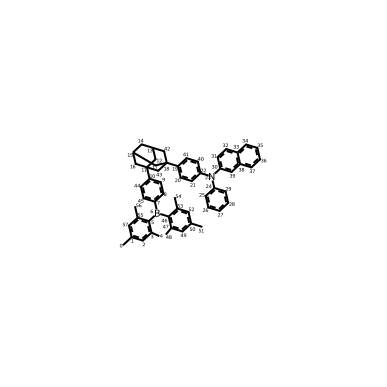 Cc1cc(C)c(B(c2ccc(C34CC5CC(C3)CC(c3ccc(N(c6ccccc6)c6ccc7ccccc7c6)cc3)(C5)C4)cc2)c2c(C)cc(C)cc2C)c(C)c1